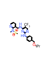 CC(C)OCc1ccc(Nc2ncc(C(F)(F)F)c(NCc3cccnc3N(C)S(C)(=O)=O)n2)cc1